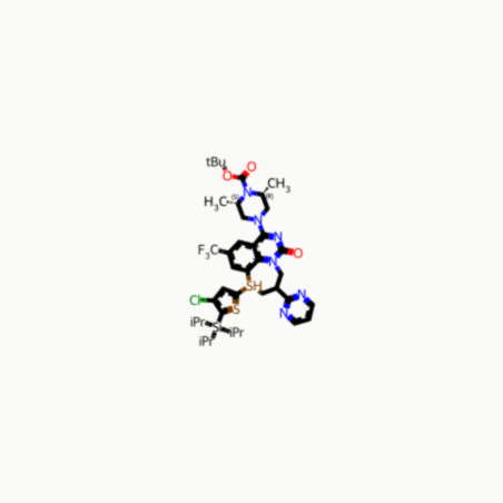 CC(C)[Si](c1sc([SH]2CC(c3ncccn3)Cn3c(=O)nc(N4C[C@@H](C)N(C(=O)OC(C)(C)C)[C@@H](C)C4)c4cc(C(F)(F)F)cc2c43)cc1Cl)(C(C)C)C(C)C